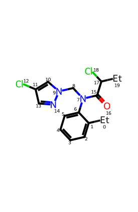 CCc1ccccc1N(Cn1cc(Cl)cn1)C(=O)C(Cl)CC